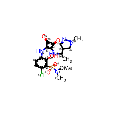 CON(C)S(=O)(=O)c1c(Cl)ccc(Nc2c(N[C@H](C)C3C=NN(C)C3)c(=O)c2=O)c1O